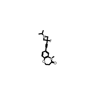 CC(C)N1CC(F)(C#Cc2ccc3c(c2)N(C)C(=O)CCO3)C1